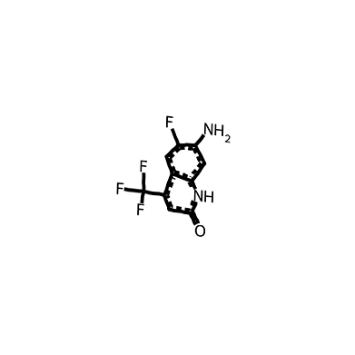 Nc1cc2[nH]c(=O)cc(C(F)(F)F)c2cc1F